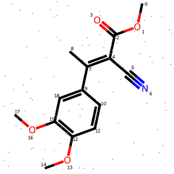 COC(=O)/C(C#N)=C(\C)c1ccc(OC)c(OC)c1